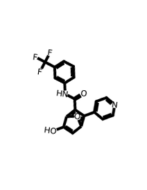 O=C(Nc1cccc(C(F)(F)F)c1)c1c(-c2ccncc2)c2cc(O)c1o2